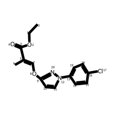 CCOC(=O)/C(C)=C/Oc1ccn(-c2ccc(Cl)cc2)n1